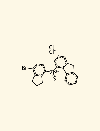 [Cl-].[Cl-].[S]=[Zr+2]([c]1ccc(Br)c2c1CCC2)[c]1cccc2c1-c1ccccc1C2